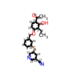 CCc1c(OCc2cccc(Sc3cncc(C#N)c3)c2)ccc(C(C)=O)c1O